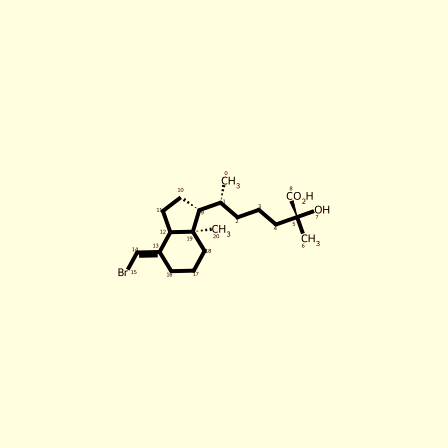 C[C@H](CCC[C@@](C)(O)C(=O)O)[C@H]1CCC2C(=CBr)CCC[C@@]21C